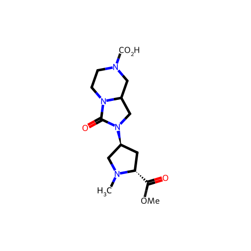 COC(=O)[C@H]1C[C@H](N2CC3CN(C(=O)O)CCN3C2=O)CN1C